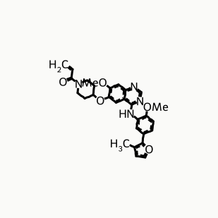 C=CC(=O)N1CCC(Oc2cc3c(Nc4cc(-c5occc5C)ccc4OC)ncnc3cc2OC)CC1